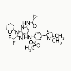 CC1(C)CSC(c2ccc(Nc3cc(NC(=O)C4CC4)nc4c3nc(C(F)F)n4C3CCCCO3)c(S(C)(=O)=O)c2)=N1